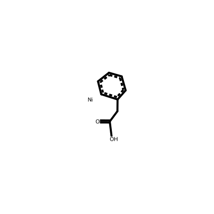 O=C(O)Cc1ccccc1.[Ni]